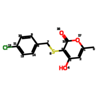 Cc1cc(O)c(SCc2ccc(Cl)cc2)c(=O)o1